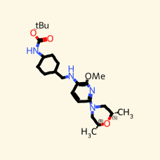 COc1nc(N2C[C@@H](C)O[C@@H](C)C2)ccc1NCC1CCC(NC(=O)OC(C)(C)C)CC1